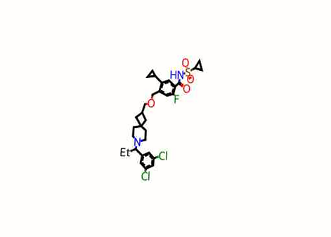 CCC(c1cc(Cl)cc(Cl)c1)N1CCC2(CC1)CC(COCc1cc(F)c(C(=O)NS(=O)(=O)C3CC3)cc1C1CC1)C2